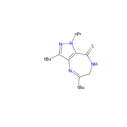 CCCn1nc(C(C)(C)C)c2c1C(=S)NCC(C(C)(C)C)=N2